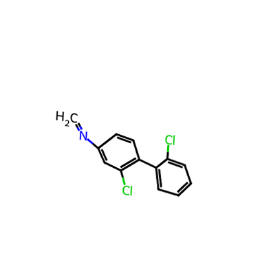 C=Nc1ccc(-c2ccccc2Cl)c(Cl)c1